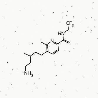 C=C(NCC(F)(F)F)c1ccc(CCC(C)CCN)c(C)n1